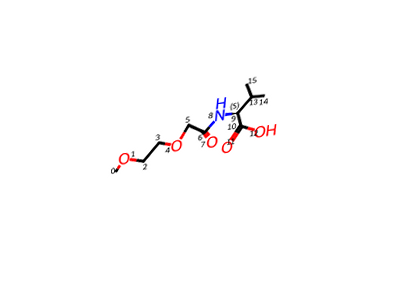 COCCOCC(=O)N[C@H](C(=O)O)C(C)C